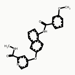 CNC(=O)c1cc(Oc2ccc3c(NC(=O)c4cccc(OC)c4)cccc3c2)ccn1